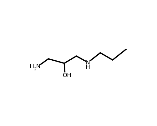 CCCNCC(O)CN